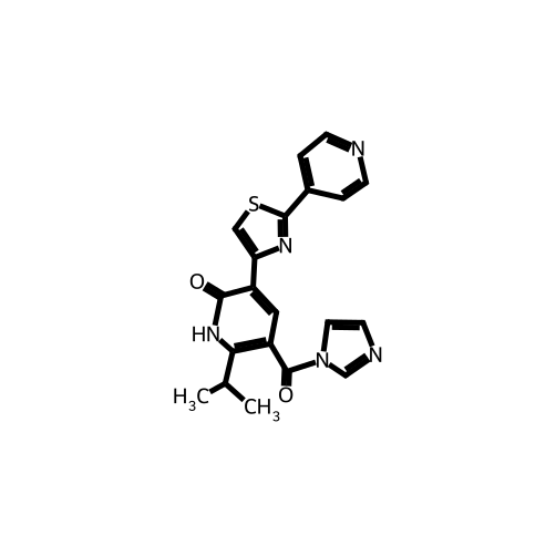 CC(C)c1[nH]c(=O)c(-c2csc(-c3ccncc3)n2)cc1C(=O)n1ccnc1